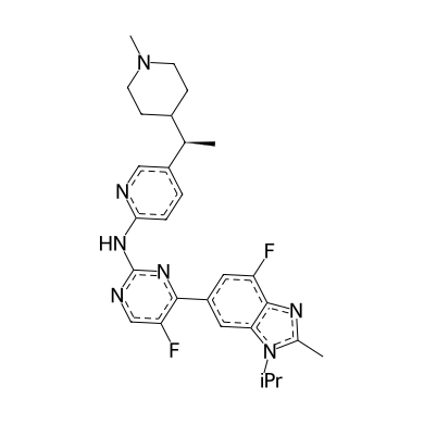 Cc1nc2c(F)cc(-c3nc(Nc4ccc([C@H](C)C5CCN(C)CC5)cn4)ncc3F)cc2n1C(C)C